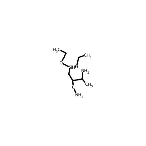 CCO[SiH](CC(CN)C(C)N)OCC